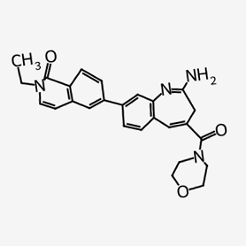 CCn1ccc2cc(-c3ccc4c(c3)N=C(N)CC(C(=O)N3CCOCC3)=C4)ccc2c1=O